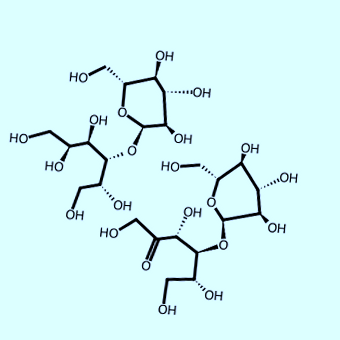 O=C(CO)[C@H](O)[C@@H](O[C@H]1O[C@H](CO)[C@@H](O)[C@H](O)[C@H]1O)[C@H](O)CO.OC[C@@H](O)[C@@H](O[C@H]1O[C@H](CO)[C@@H](O)[C@H](O)[C@H]1O)[C@H](O)[C@@H](O)CO